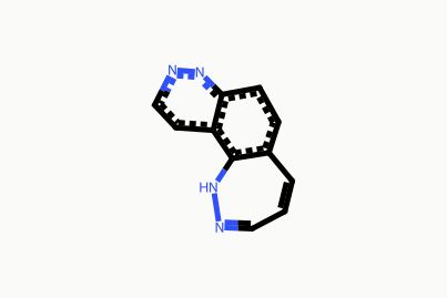 C1=Cc2ccc3nnccc3c2NN=C1